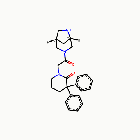 O=C(CN1CCCC(c2ccccc2)(c2ccccc2)C1=O)N1C[C@@H]2CN[C@@H](C2)C1